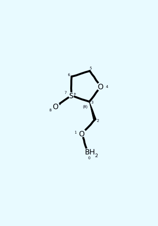 BOC[C@@H]1OCC[S+]1[O-]